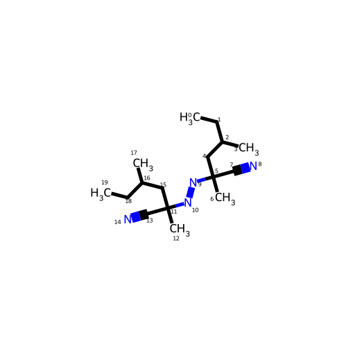 CCC(C)CC(C)(C#N)N=NC(C)(C#N)CC(C)CC